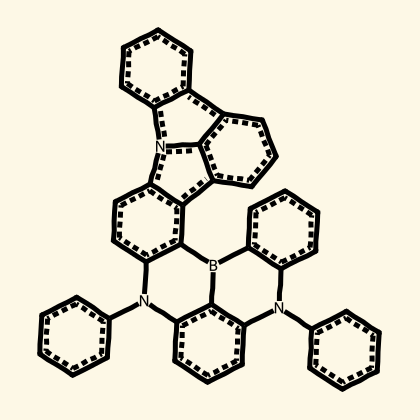 c1ccc(N2c3ccccc3B3c4c2cccc4N(c2ccccc2)c2ccc4c(c23)c2cccc3c5ccccc5n4c32)cc1